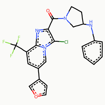 O=C(c1nc2c(C(F)(F)F)cc(-c3ccoc3)cn2c1Cl)N1CCC(Nc2ccccc2)C1